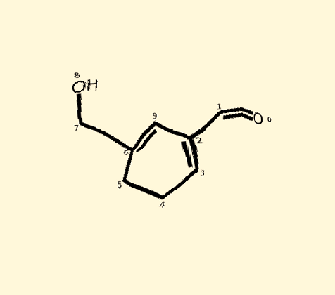 O=CC1=CCCC(CO)=C1